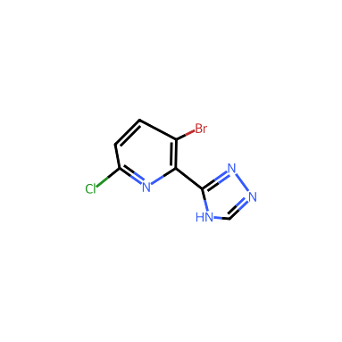 Clc1ccc(Br)c(-c2nnc[nH]2)n1